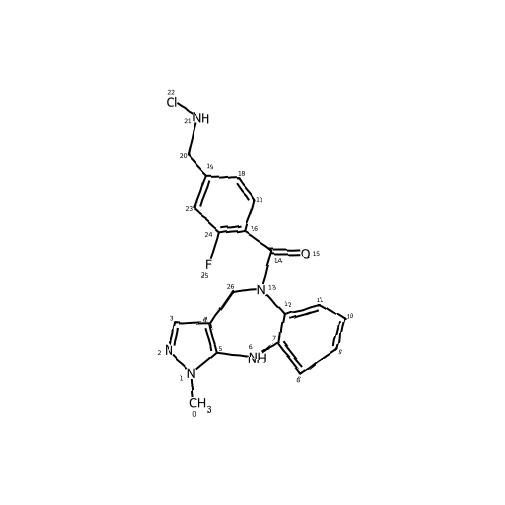 Cn1ncc2c1Nc1ccccc1N(C(=O)c1ccc(CNCl)cc1F)C2